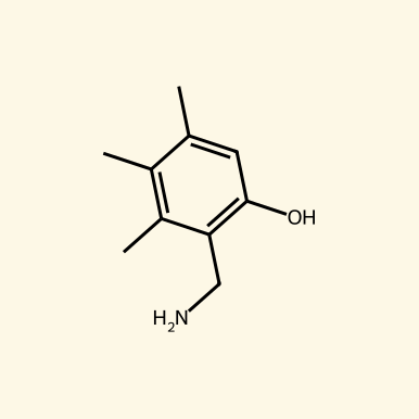 Cc1cc(O)c(CN)c(C)c1C